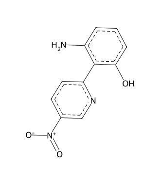 Nc1cccc(O)c1-c1ccc([N+](=O)[O-])cn1